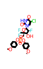 COc1ccc(OP(=O)(OC[C@@]2(C(F)F)O[C@@H](n3cc(Cl)c(=O)[nH]c3=O)[C@@H](F)[C@@H]2O)Oc2ccc(OC)cc2)cc1